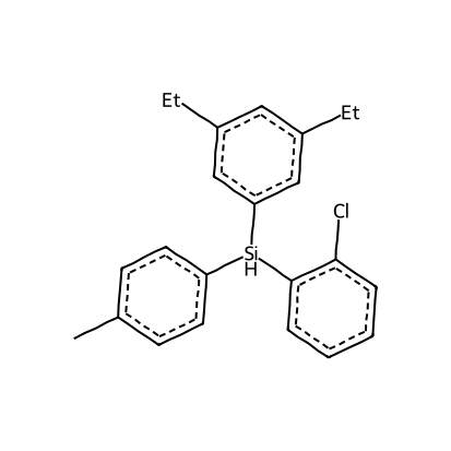 CCc1cc(CC)cc([SiH](c2ccc(C)cc2)c2ccccc2Cl)c1